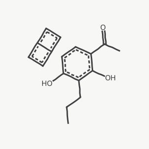 CCCc1c(O)ccc(C(C)=O)c1O.c1cc2ccc1-2